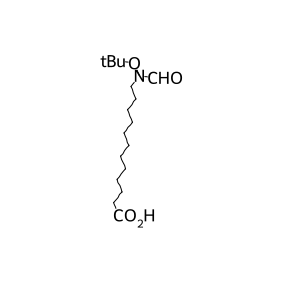 CC(C)(C)ON(C=O)CCCCCCCCCCCC(=O)O